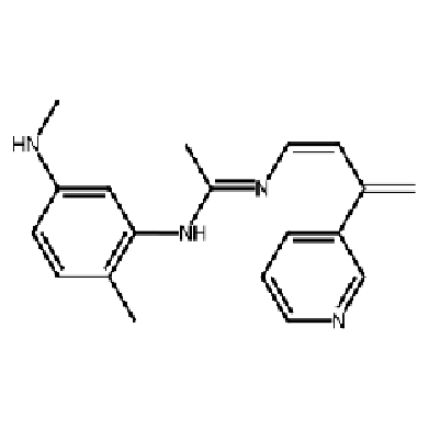 C=C(/C=C\N=C(/C)Nc1cc(NC)ccc1C)c1cccnc1